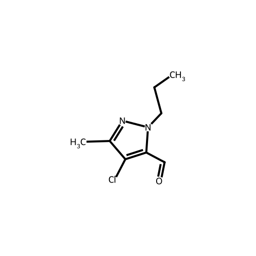 CCCn1nc(C)c(Cl)c1C=O